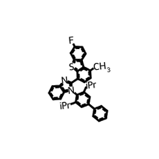 Cc1ccc(-c2nc3ccccc3n2-c2c(C(C)C)cc(-c3ccccc3)cc2C(C)C)c2sc3cc(F)ccc3c12